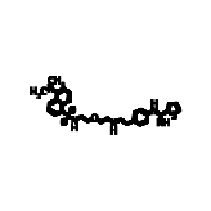 CN(C)c1cccc2c(S(=O)(=O)NCCOCCNCCc3ccc(NC(=N)c4cccs4)cc3)cccc12